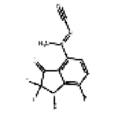 C/S(=N\C#N)c1ccc(F)c2c1C(=O)C(F)(F)[C@@H]2F